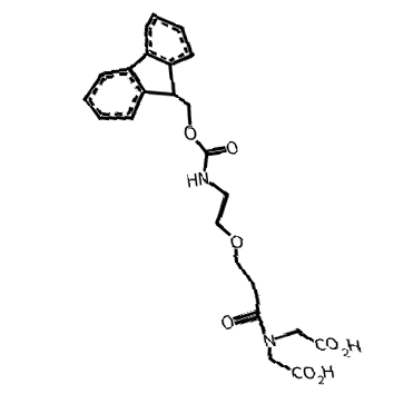 O=C(O)CN(CC(=O)O)C(=O)CCOCCNC(=O)OCC1c2ccccc2-c2ccccc21